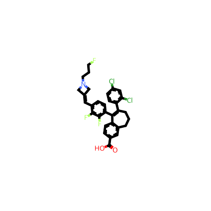 O=C(O)c1ccc2c(c1)CCCC(c1ccc(Cl)cc1Cl)=C2c1ccc(C=C2CN(CCCF)C2)c(F)c1F